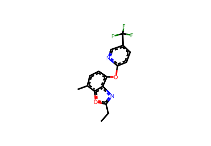 CCc1nc2c(Oc3ccc(C(F)(F)F)cn3)ccc(C)c2o1